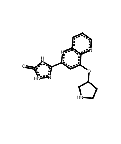 O=c1[nH]nc(-c2cc(OC3CCNC3)c3ncccc3n2)[nH]1